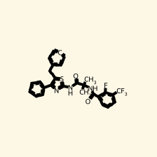 CC(C)(NC(=O)c1cccc(C(F)(F)F)c1F)C(=O)Nc1nc(-c2ccccc2)c(Cc2ccccc2)s1